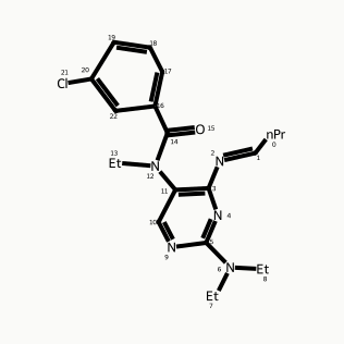 [CH2]CCC=Nc1nc(N(CC)CC)ncc1N(CC)C(=O)c1cccc(Cl)c1